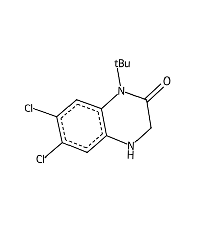 CC(C)(C)N1C(=O)CNc2cc(Cl)c(Cl)cc21